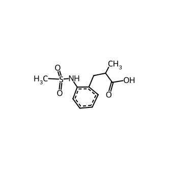 CC(Cc1ccccc1NS(C)(=O)=O)C(=O)O